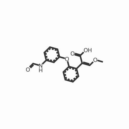 COC=C(C(=O)O)c1ccccc1Oc1cccc(NC=O)c1